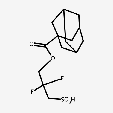 O=C(OCC(F)(F)CS(=O)(=O)O)C12CC3CC(CC(C3)C1)C2